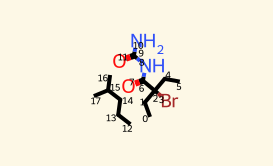 CCC(Br)(CC)C(=O)NC(N)=O.CCCC(C)C